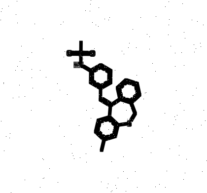 Cc1ccc2c(c1)SCc1ccccc1/C2=C\c1cccc(NS(C)(=O)=O)c1